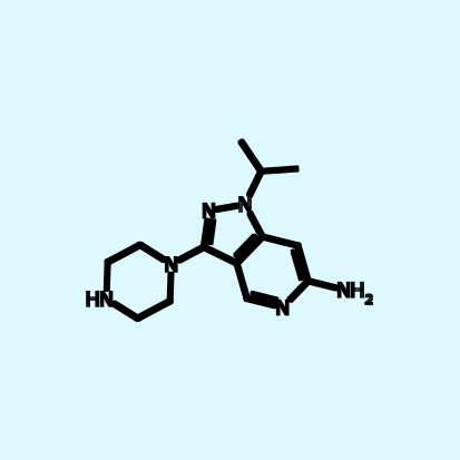 CC(C)n1nc(N2CCNCC2)c2cnc(N)cc21